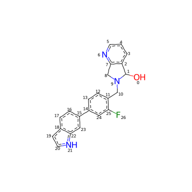 OC1c2cccnc2CN1Cc1ccc(-c2ccc3cc[nH]c3c2)cc1F